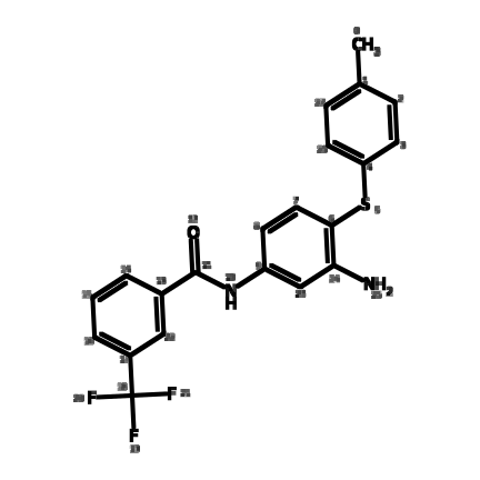 Cc1ccc(Sc2ccc(NC(=O)c3cccc(C(F)(F)F)c3)cc2N)cc1